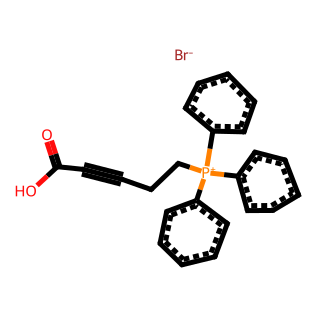 O=C(O)C#CCC[P+](c1ccccc1)(c1ccccc1)c1ccccc1.[Br-]